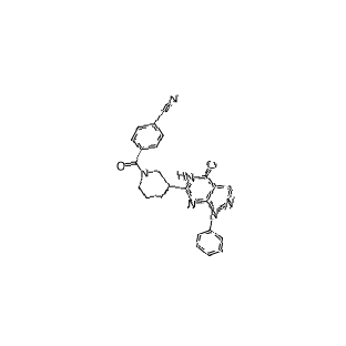 N#Cc1ccc(C(=O)N2CCCC(c3nc4c(cnn4-c4ccccc4)c(=O)[nH]3)C2)cc1